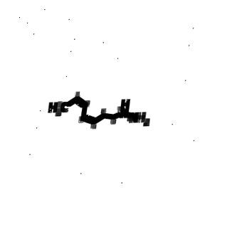 C/C=C\C=C/CCNN